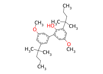 CCCC(C)(C)c1cc(OC)cc(-c2cc(OC)cc(C(C)(C)CCC)c2O)c1